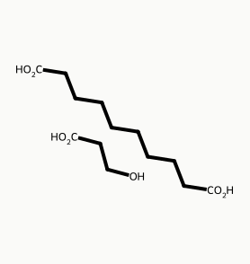 O=C(O)CCCCCCCCC(=O)O.O=C(O)CCO